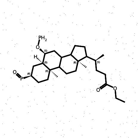 CCOC(=O)CC[C@H](C)C1CCC2C3C[C@H](OP)[C@@H]4C[C@H](P=O)CC[C@]4(C)C3CC[C@@]21C